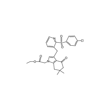 CCOC(=O)Cn1cc(Cc2cccnc2S(=O)(=O)c2ccc(Cl)cc2)c2c1CC(C)(C)CC2=O